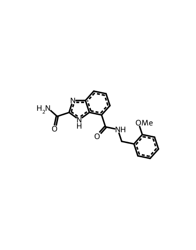 COc1ccccc1CNC(=O)c1cccc2nc(C(N)=O)[nH]c12